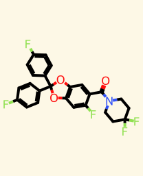 O=C(c1cc2c(cc1F)OC(C1=C=C=C(F)C=C1)(c1ccc(F)cc1)O2)N1CCC(F)(F)CC1